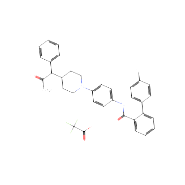 COC(=O)C(c1ccccc1)C1CCN(c2ccc(NC(=O)c3ccccc3-c3ccc(C(F)(F)F)cc3)cc2)CC1.O=C(O)C(F)(F)F